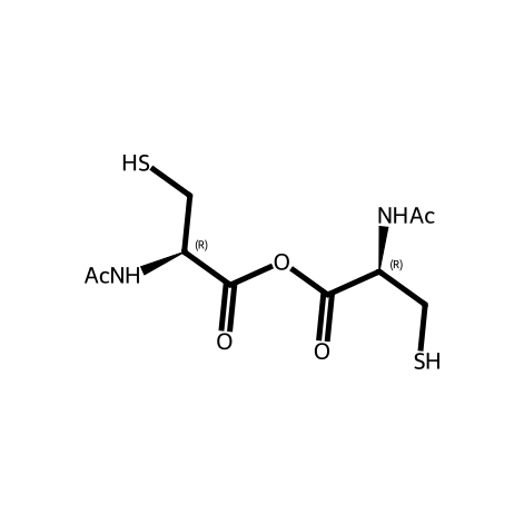 CC(=O)N[C@@H](CS)C(=O)OC(=O)[C@H](CS)NC(C)=O